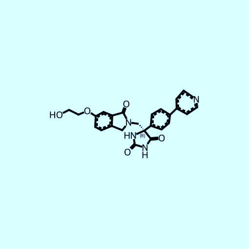 O=C1NC(=O)[C@](CN2Cc3ccc(OCCO)cc3C2=O)(c2ccc(-c3ccncc3)cc2)N1